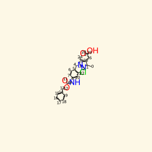 Cc1nn(Cc2ccc(NC(=O)OCc3ccccc3)cc2Cl)c(C)c1CC(=O)O